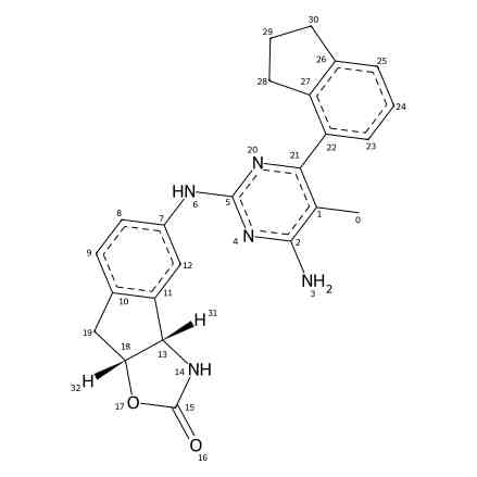 Cc1c(N)nc(Nc2ccc3c(c2)[C@@H]2NC(=O)O[C@@H]2C3)nc1-c1cccc2c1CCC2